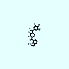 C[C@H]1c2nn(C)c(-c3cc(F)c(F)c(F)c3)c2CCN1C(=O)c1cccc2cc[nH]c12